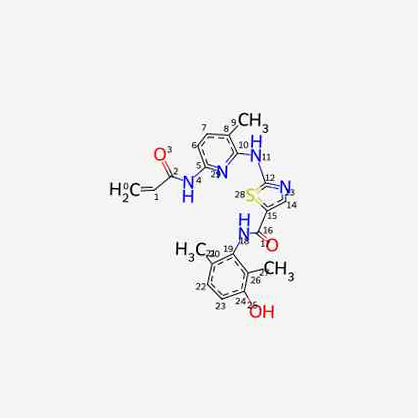 C=CC(=O)Nc1ccc(C)c(Nc2ncc(C(=O)Nc3c(C)ccc(O)c3C)s2)n1